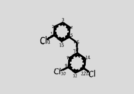 Clc1cccc([CH]c2cc(Cl)cc(Cl)c2)c1